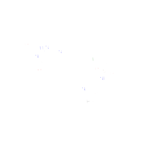 COc1ncc(-c2ccc3nc(N)c(C(=O)N4CCOCC4)cc3c2)cc1NS(=O)(=O)c1ccc(F)cc1F